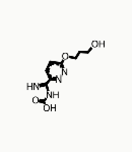 N=C(NC(=O)O)c1ccc(OCCCO)nn1